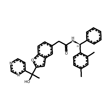 Cc1ccc([C@@H](NC(=O)Cc2ccc3oc(C(C)(O)c4ccncn4)cc3c2)c2ccccc2)c(C)c1